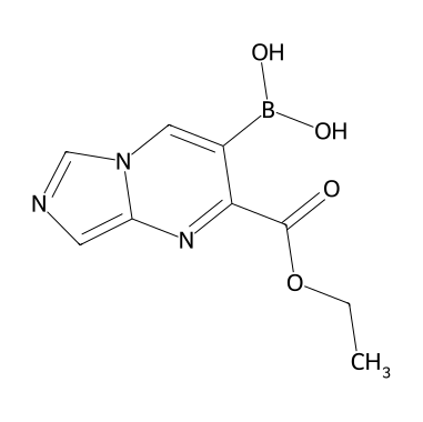 CCOC(=O)c1nc2cncn2cc1B(O)O